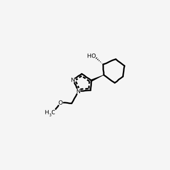 COCn1cc([C@@H]2CCCC[C@H]2O)cn1